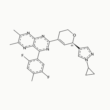 Cc1cc(F)c(-c2nc(C3=C[C@H](c4cnn(C5CC5)c4)OCC3)nc3nc(C)c(C)nc23)cc1F